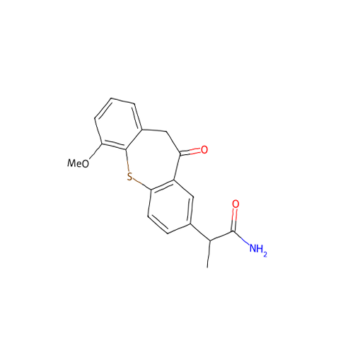 COc1cccc2c1Sc1ccc(C(C)C(N)=O)cc1C(=O)C2